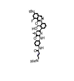 CNC/C=C/C(=O)Nc1cccc(Nc2nc(-c3cccc(-n4ncc5cc(C(C)(C)C)cc(F)c5c4=O)c3CO)cn(C)c2=O)c1